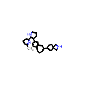 Cc1cccc(C2=C(c3ccc4c(c3)=CC(C3=CCC5(CC3)CNC5)=CCC=4)CC=CN2)n1